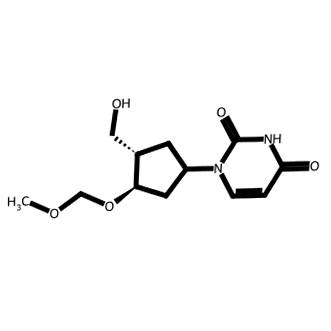 COCO[C@@H]1CC(n2ccc(=O)[nH]c2=O)C[C@H]1CO